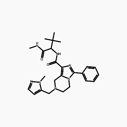 CNC(=O)C(NC(=O)c1nc(-c2ccccc2)n2c1CN(Cc1ccnn1C)CC2)C(C)(C)C